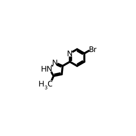 Cc1cc(-c2ccc(Br)cn2)n[nH]1